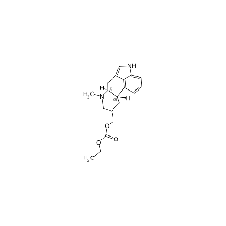 CCOC(=O)OCC1C[C@H]2c3cccc4[nH]cc(c34)C[C@@H]2N(C)C1